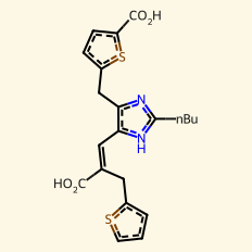 CCCCc1nc(Cc2ccc(C(=O)O)s2)c(/C=C(\Cc2cccs2)C(=O)O)[nH]1